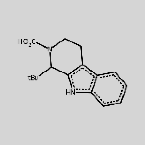 CC(C)(C)C1c2[nH]c3ccccc3c2CCN1C(=O)O